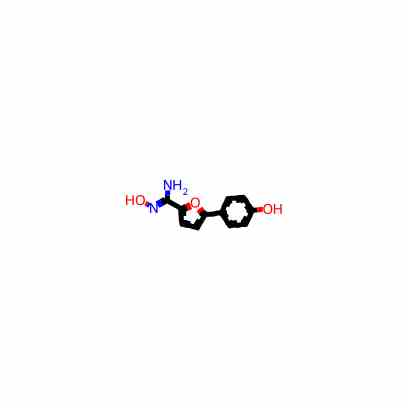 NC(=NO)c1ccc(-c2ccc(O)cc2)o1